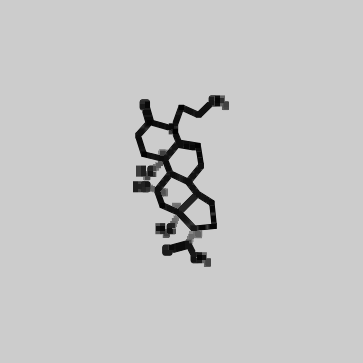 CCCN1C(=O)CC[C@@]2(C)C1=CCC1C2[C@@H](O)C[C@@]2(C)C1CC[C@@H]2C(C)=O